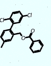 Cc1ccc(-c2cc(Cl)ccc2Cl)c(COC(=O)c2ccccc2)c1